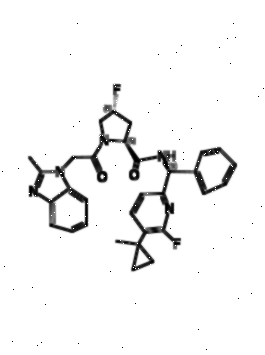 Cc1nc2ccccc2n1CC(=O)N1C[C@H](F)C[C@H]1C(=O)N[C@@H](c1ccccc1)c1ccc(C2(C)CC2)c(F)n1